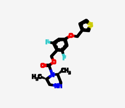 C[C@@H]1CNC[C@H](C)N1C(=O)OCc1c(F)cc(OCc2ccsc2)cc1F